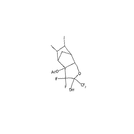 CC(=O)OC12C3CC(C(C)C3C)C1OC(O)(C(F)(F)F)C2(F)F